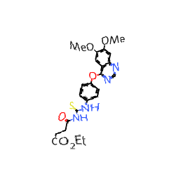 CCOC(=O)CCC(=O)NC(=S)Nc1ccc(Oc2ncnc3cc(OC)c(OC)cc23)cc1